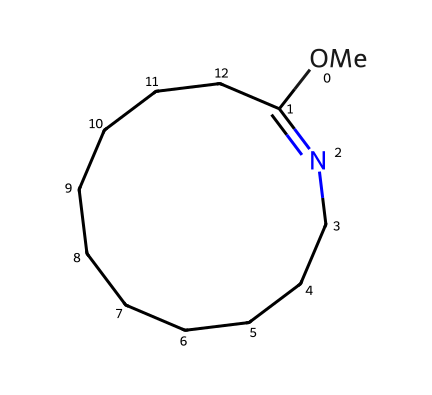 COC1=NCCCCCCCCCC1